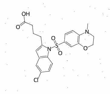 CN1CCOc2cc(S(=O)(=O)n3c(CCCC(=O)O)cc4cc(Cl)ccc43)ccc21